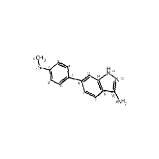 CSc1ccc(-c2ccc3c(N)n[nH]c3c2)cc1